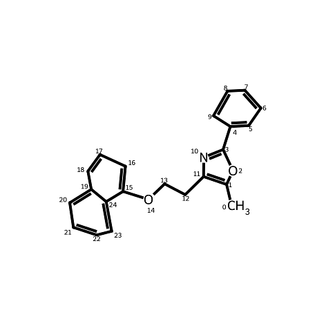 Cc1oc(-c2ccccc2)nc1CCOc1cccc2ccccc12